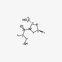 CC(CS)C(=O)N1C[C@H](F)C[C@H]1C(=O)O